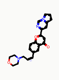 O=c1cc(-c2cc3cccn3cn2)oc2ccc(/C=C\CN3CCOCC3)cc12